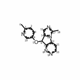 Cc1ccc(OC2c3nnccc3-n3c2cnc3C)cn1